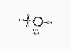 O=S(=O)(O)c1ccc(O)cc1.[LiH].[NaH]